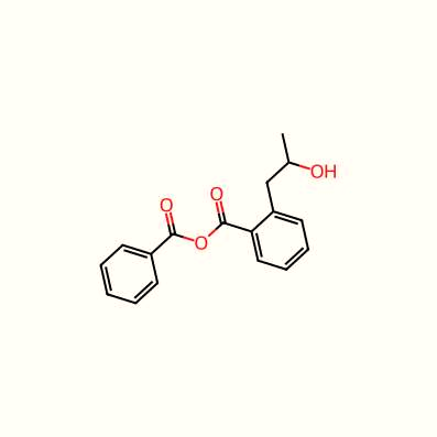 CC(O)Cc1ccccc1C(=O)OC(=O)c1ccccc1